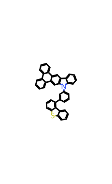 c1cc(-c2cccc3sc4ccccc4c23)cc(-n2c3ccccc3c3cc4c5ccccc5c5ccccc5c4cc32)c1